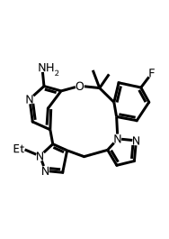 CCn1ncc2c1-c1cnc(N)c(c1)OC(C)(C)c1cc(F)ccc1-n1nccc1C2